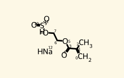 C=C(C)C(=O)OCCO[SH](=O)=O.[NaH]